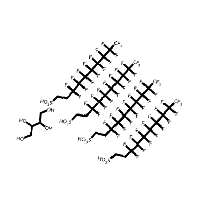 O=S(=O)(O)CCC(F)(F)C(F)(F)C(F)(F)C(F)(F)C(F)(F)C(F)(F)C(F)(F)C(F)(F)F.O=S(=O)(O)CCC(F)(F)C(F)(F)C(F)(F)C(F)(F)C(F)(F)C(F)(F)C(F)(F)C(F)(F)F.O=S(=O)(O)CCC(F)(F)C(F)(F)C(F)(F)C(F)(F)C(F)(F)C(F)(F)C(F)(F)C(F)(F)F.O=S(=O)(O)CCC(F)(F)C(F)(F)C(F)(F)C(F)(F)C(F)(F)C(F)(F)C(F)(F)C(F)(F)F.OCC(O)C(O)CO